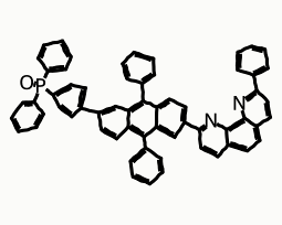 O=P(c1ccccc1)(c1ccccc1)c1ccc(-c2ccc3c(-c4ccccc4)c4cc(-c5ccc6ccc7ccc(-c8ccccc8)nc7c6n5)ccc4c(-c4ccccc4)c3c2)cc1